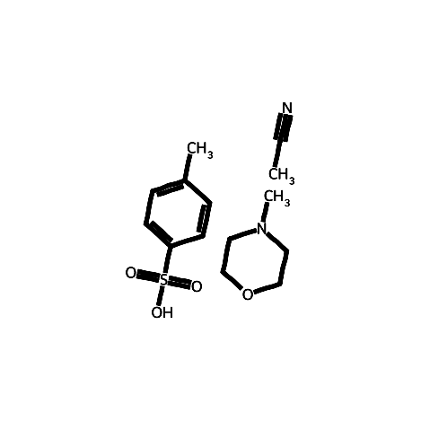 CC#N.CN1CCOCC1.Cc1ccc(S(=O)(=O)O)cc1